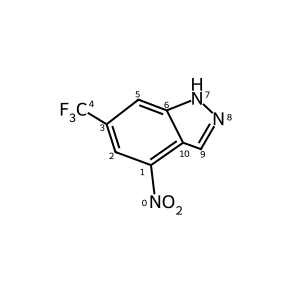 O=[N+]([O-])c1cc(C(F)(F)F)cc2[nH]ncc12